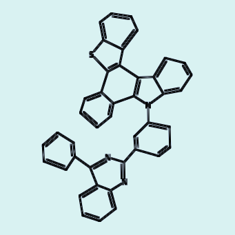 c1ccc(-c2nc(-c3cccc(-n4c5ccccc5c5c6c7ccccc7sc6c6ccccc6c54)c3)nc3ccccc23)cc1